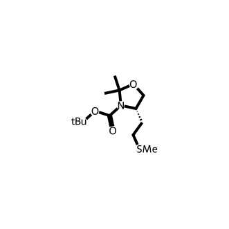 CSCC[C@H]1COC(C)(C)N1C(=O)OC(C)(C)C